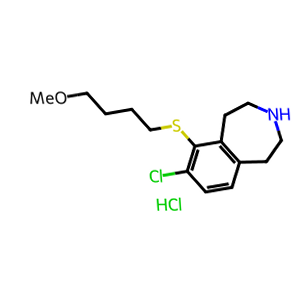 COCCCCSc1c(Cl)ccc2c1CCNCC2.Cl